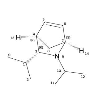 CC(C)[C@@H]1[C@H]2C=C[C@H](C2)N1C(C)C